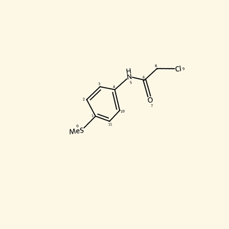 CSc1ccc(NC(=O)CCl)cc1